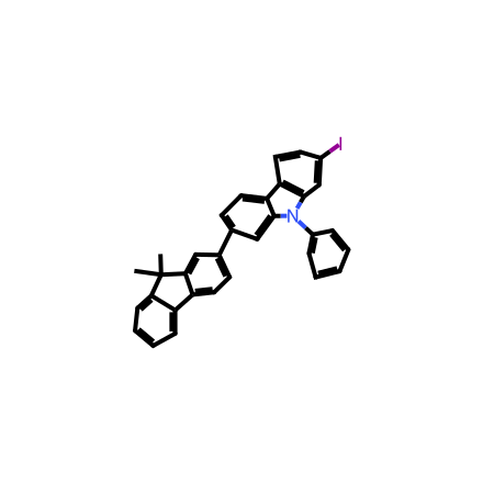 CC1(C)c2ccccc2-c2ccc(-c3ccc4c5ccc(I)cc5n(-c5ccccc5)c4c3)cc21